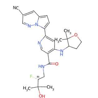 CC1(C)OCCC1Nc1cc(-c2ccc3cc(C#N)cnn23)ncc1C(=O)NC[C@@H](F)C(C)(C)O